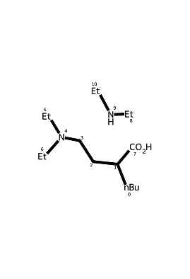 CCCCC(CCN(CC)CC)C(=O)O.CCNCC